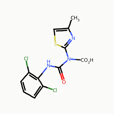 Cc1csc(N(C(=O)O)C(=O)Nc2c(Cl)cccc2Cl)n1